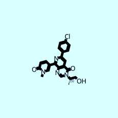 C[C@@H](CO)n1cnc2c(-c3ccc(=O)n(C)c3)nc(-c3ccc(Cl)cc3)cc2c1=O